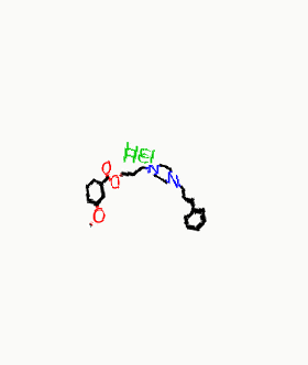 COC1CCCC(C(=O)OCCCN2CCN(C/C=C/c3ccccc3)CC2)C1.Cl.Cl